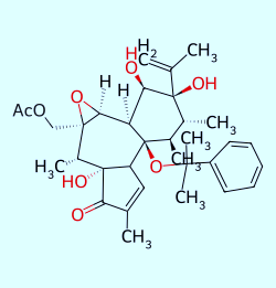 C=C(C)[C@]1(O)[C@H](C)[C@@H](C)[C@]2(OC(C)(C)c3ccccc3)C3C=C(C)C(=O)[C@@]3(O)[C@H](C)[C@@]3(COC(C)=O)O[C@H]3[C@H]2[C@H]1O